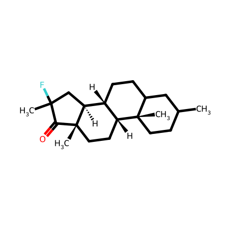 CC1CC[C@@]2(C)C(CC[C@@H]3[C@H]2CC[C@]2(C)C(=O)C(C)(F)C[C@@H]32)C1